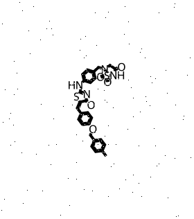 Cc1ccc(COc2ccc(C=C3SC(Nc4ccc(CN5CC(=O)NS5(=O)=O)cc4)=NC3=O)cc2)cc1